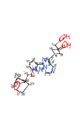 N[N+]12C=CN=CC1=C(C1CC(O)(CO)C1)N=C2c1cccc(OCC23CCC(CC2)O3)c1